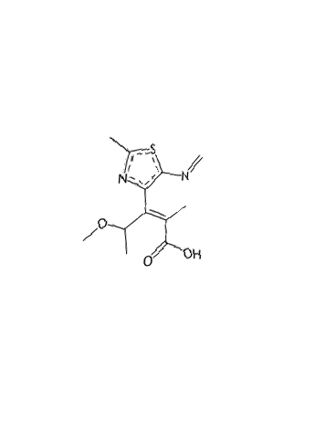 C=Nc1sc(C)nc1/C(=C(\C)C(=O)O)C(C)OC